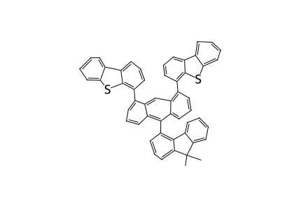 CC1(C)c2ccccc2-c2c(-c3c4cccc(-c5cccc6c5sc5ccccc56)c4cc4c(-c5cccc6c5sc5ccccc56)cccc34)cccc21